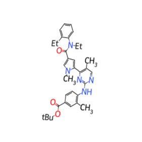 CCc1ccccc1N(CC)C(=O)c1cc(-c2nc(Nc3ccc(C(=O)OC(C)(C)C)cc3C)ncc2C)n(C)c1